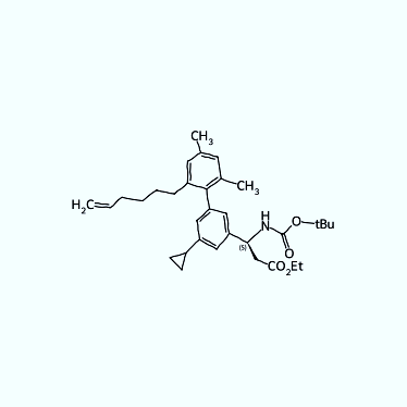 C=CCCCCc1cc(C)cc(C)c1-c1cc(C2CC2)cc([C@H](CC(=O)OCC)NC(=O)OC(C)(C)C)c1